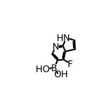 OB(O)c1cnc2[nH]ccc2c1F